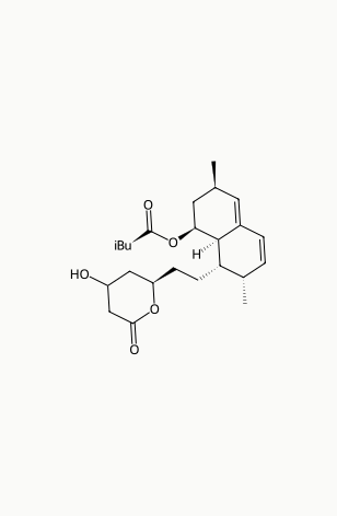 CC[C@H](C)C(=O)O[C@H]1C[C@@H](C)C=C2C=C[C@H](C)[C@H](CC[C@@H]3CC(O)CC(=O)O3)[C@H]21